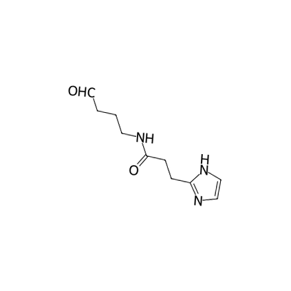 O=CCCCNC(=O)CCc1ncc[nH]1